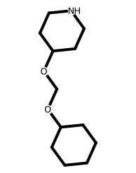 C1CCC(OCOC2CCNCC2)CC1